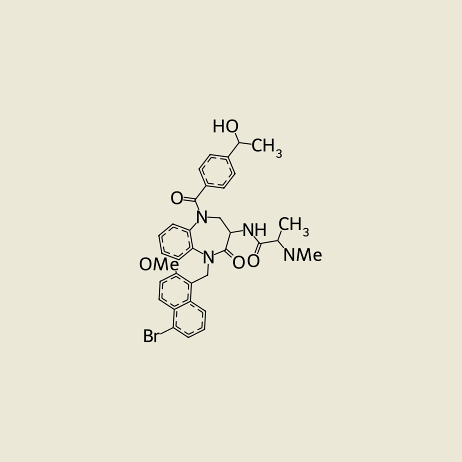 CNC(C)C(=O)NC1CN(C(=O)c2ccc(C(C)O)cc2)c2ccccc2N(Cc2c(OC)ccc3c(Br)cccc23)C1=O